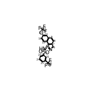 O=S(=O)(Nn1ncc2ccc3cc(OC(F)(F)F)ccc3c21)c1cccc(C(F)(F)F)c1